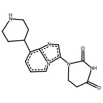 O=C1CCN(c2cnc3c(C4CCNCC4)cccn23)C(=O)N1